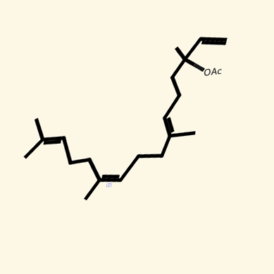 C=CC(C)(CCC=C(C)CC/C=C(/C)CCC=C(C)C)OC(C)=O